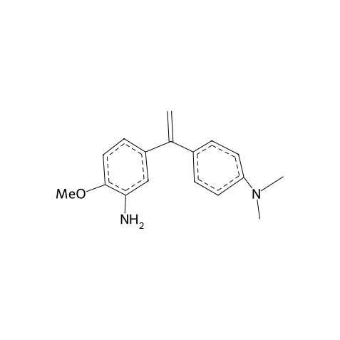 C=C(c1ccc(N(C)C)cc1)c1ccc(OC)c(N)c1